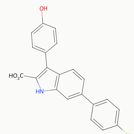 O=C(O)c1[nH]c2cc(-c3ccc(F)cc3)ccc2c1-c1ccc(O)cc1